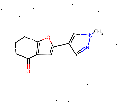 Cn1cc(-c2cc3c(o2)CCCC3=O)cn1